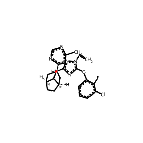 C=Cn1nc(NC2[C@@H]3CC[C@H]2CN(c2cc(C)ncn2)C3)nc1Oc1cccc(Cl)c1F